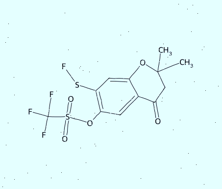 CC1(C)CC(=O)c2cc(OS(=O)(=O)C(F)(F)F)c(SF)cc2O1